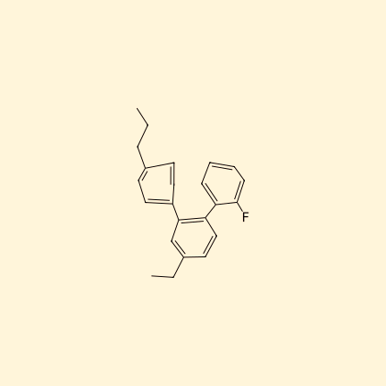 CCCc1ccc(-c2cc(CC)ccc2-c2ccccc2F)cc1